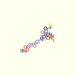 CC(C)(C)OC(=O)N1CCN(CC(=O)N2CCC(c3cn4cc(NC(=O)c5cccc(C6CC6(F)F)n5)c(C(C)(C)O)c(F)c4n3)CC2)CC1